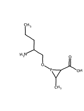 CCCC(N)COP1C(C)C1C(=O)O